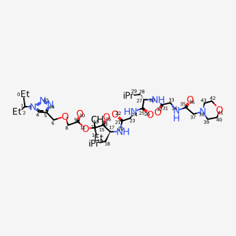 CCC(CC)n1cc(COCC(=O)OC(C)(CC)C(=O)[C@H](CC(C)C)NC(=O)CNC(=O)[C@H](CC(C)C)NC(=O)CNC(=O)CN2CCOCC2)nn1